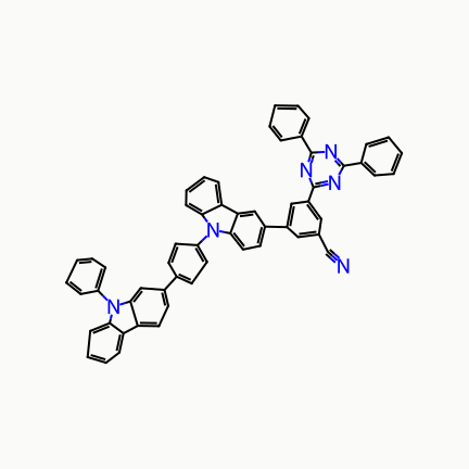 N#Cc1cc(-c2ccc3c(c2)c2ccccc2n3-c2ccc(-c3ccc4c5ccccc5n(-c5ccccc5)c4c3)cc2)cc(-c2nc(-c3ccccc3)nc(-c3ccccc3)n2)c1